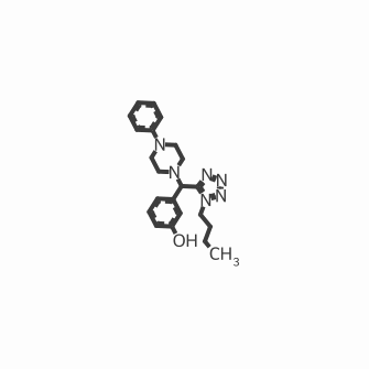 CCCCn1nnnc1C(c1cccc(O)c1)N1CCN(c2ccccc2)CC1